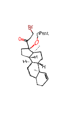 CCCCCO[C@]1(C(=O)CBr)CC[C@H]2[C@@H]3CCC4CCC=C[C@]4(C)[C@H]3CC[C@@]21C